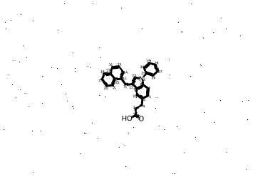 O=C(O)CCc1ccc2c(c1)c(Cc1cccc3ccccc13)cn2-c1ccccc1